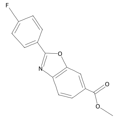 COC(=O)c1ccc2nc(-c3ccc(F)cc3)oc2c1